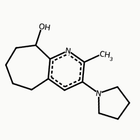 Cc1nc2c(cc1N1CCCC1)CCCCC2O